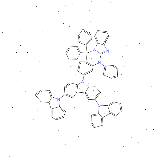 c1ccc(N2c3cc(-n4c5ccc(-n6c7ccccc7c7ccccc76)cc5c5cc(-n6c7ccccc7c7ccccc76)ccc54)ccc3C(c3ccccc3)(c3ccccc3)n3c2nc2ccccc23)cc1